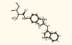 CC[C@H](C)C(N)C(=O)Nc1ccc2[nH]c(Cc3c[nH]c4ccccc34)nc2c1